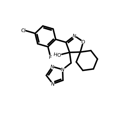 OC1(Cn2cncn2)C(c2ccc(Cl)cc2F)=NOC12CCCCC2